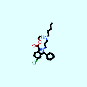 CCCCCNCCCn1c(C(=O)OCC)c2ccc(Cl)cc2c1-c1ccccc1